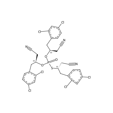 N#CC[C@H](Cc1ccc(Cl)cc1Cl)OP(=O)(O[C@H](CC#N)Cc1ccc(Cl)cc1Cl)S[C@H](CC#N)Cc1ccc(Cl)cc1Cl